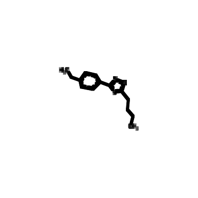 CCCCc1nnc(-c2ccc(CC)cc2)s1